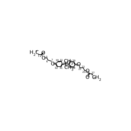 C=CC(=O)OCCCOc1ccc(C(C)(C)c2ccc(OCCCOC(=O)C=C)cc2)cc1